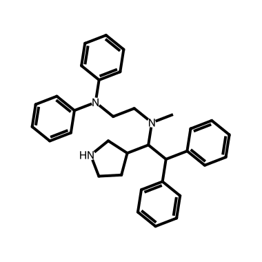 CN(CCN(c1ccccc1)c1ccccc1)C(C1CCNC1)C(c1ccccc1)c1ccccc1